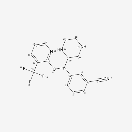 N#Cc1cccc(C(Oc2ncccc2C(F)(F)F)C2CNCCN2)c1